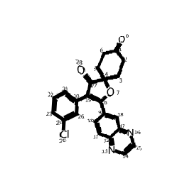 O=C1CCC2(CC1)OC(c1ccc3nccnc3c1)=C(c1cccc(Cl)c1)C2=O